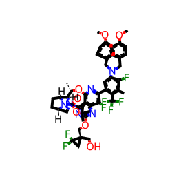 COc1ccc(CN(Cc2ccc(OC)cc2)c2cc(-c3nc4c5c(nc(OC[C@@]6(CO)CC6(F)F)nc5c3F)N3C[C@H]5CC[C@@H]([C@H]3[C@H](C)O4)N5C(=O)OC(C)(C)C)c(C(F)(F)F)c(C)c2F)cc1